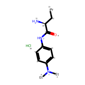 CCN(CC)c1ccc(NC(=O)[C@@H](N)CC(C)C)cc1.Cl